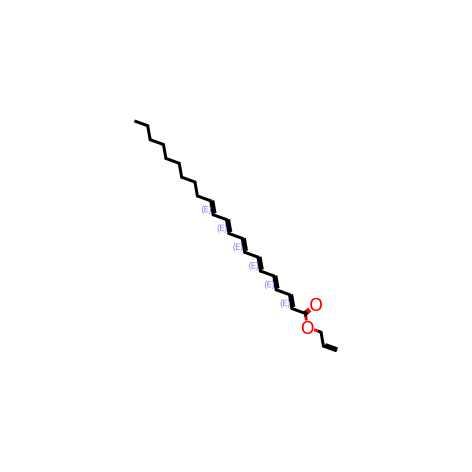 C=CCOC(=O)/C=C/C=C/C=C/C=C/C=C/C=C/CCCCCCCCC